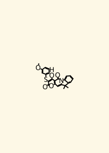 COc1cccc(Sc2c(O)c3c(=O)n4c(cc3oc2=O)C(C)(C)c2ccccc2-4)c1